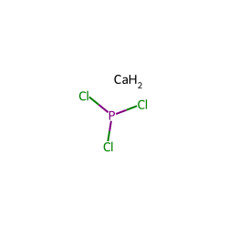 ClP(Cl)Cl.[CaH2]